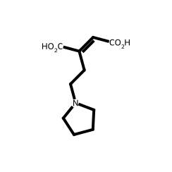 O=C(O)/C=C(\CCN1CCCC1)C(=O)O